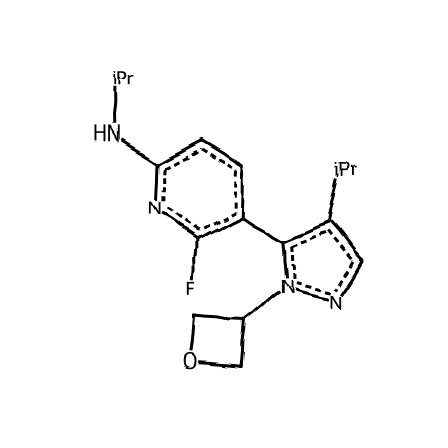 CC(C)Nc1ccc(-c2c(C(C)C)cnn2C2COC2)c(F)n1